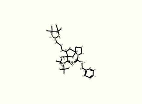 CC(=O)NC1(C(=O)NC(C)(C)C)CC2(CCCN2C(=O)OCc2ccccc2)CC1CCCB1OC(C)(C)C(C)(C)O1